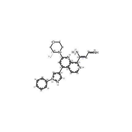 C[C@@H]1COCCN1c1cc(-c2cnn(-c3ccccc3)c2)c2ccnc(/C(N)=C/C=N)c2n1